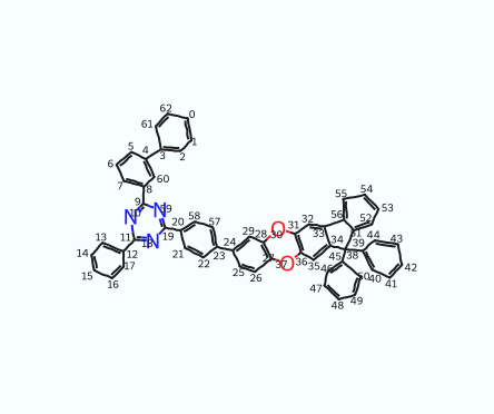 c1ccc(-c2cccc(-c3nc(-c4ccccc4)nc(-c4ccc(-c5ccc6c(c5)Oc5cc7c(cc5O6)C(c5ccccc5)(c5ccccc5)c5ccccc5-7)cc4)n3)c2)cc1